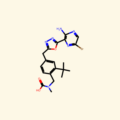 CN(Cc1ccc(Cc2nnc(-c3nc(Br)cnc3N)o2)cc1C(C)(C)C)C(=O)O